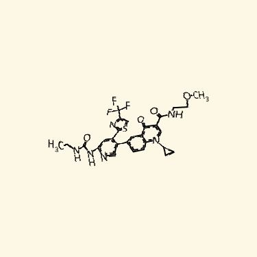 CCNC(=O)Nc1cc(-c2nc(C(F)(F)F)cs2)c(-c2ccc3c(c2)c(=O)c(C(=O)NCCOC)cn3C2CC2)cn1